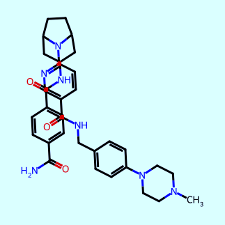 CN1CCN(c2ccc(CNC(=O)c3ccc(N4C5CCC4CC(NC(=O)c4ccc(C(N)=O)cc4)C5)nc3)cc2)CC1